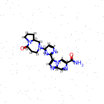 NC(=O)c1cn2c(-c3nccc(N4CCC(=O)N5CCCC5C4)n3)cnc2cn1